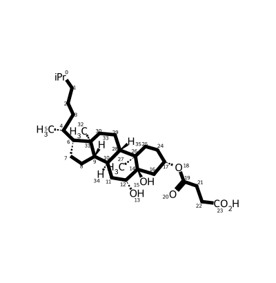 CC(C)CCC[C@@H](C)[C@H]1CC[C@H]2[C@@H]3C[C@@H](O)[C@@]4(O)C[C@@H](OC(=O)CCC(=O)O)CC[C@]4(C)[C@H]3CC[C@]12C